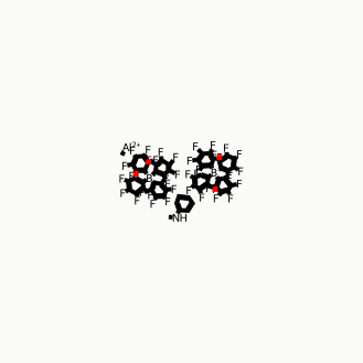 CNc1ccccc1.Fc1c(F)c(F)c([B-](c2c(F)c(F)c(F)c(F)c2F)(c2c(F)c(F)c(F)c(F)c2F)c2c(F)c(F)c(F)c(F)c2F)c(F)c1F.Fc1c(F)c(F)c([B-](c2c(F)c(F)c(F)c(F)c2F)(c2c(F)c(F)c(F)c(F)c2F)c2c(F)c(F)c(F)c(F)c2F)c(F)c1F.[CH3][Al+2]